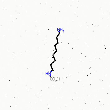 NCCCCCCCCCNC(=O)O